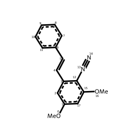 COc1cc(C=Cc2ccccc2)c([N+]#N)c(OC)c1